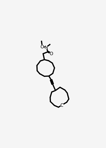 CON(C)C(=O)CC1CCCCCC(C#CC2CCCCCCCCCCC2)CCCC1